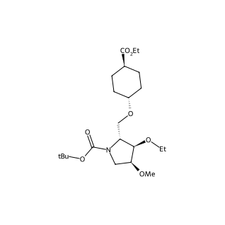 CCOC(=O)[C@H]1CC[C@H](OC[C@@H]2[C@@H](OCC)[C@@H](OC)CN2C(=O)OC(C)(C)C)CC1